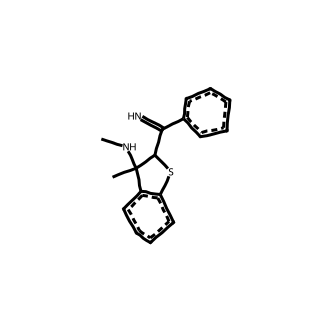 CNC1(C)c2ccccc2SC1C(=N)c1ccccc1